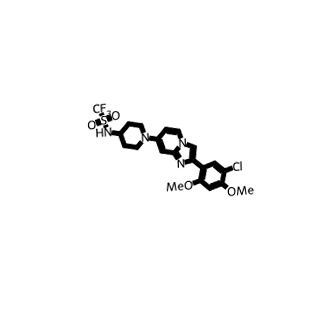 COc1cc(OC)c(-c2cn3ccc(N4CCC(NS(=O)(=O)C(F)(F)F)CC4)cc3n2)cc1Cl